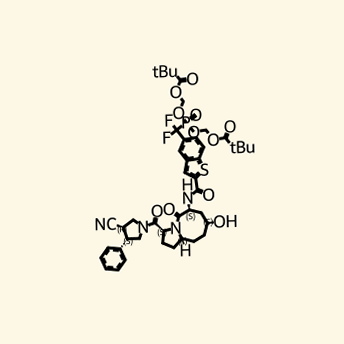 CC(C)(C)C(=O)OCOP(=O)(OCOC(=O)C(C)(C)C)C(F)(F)c1ccc2sc(C(=O)N[C@H]3C[C@@H](O)CC[C@H]4CC[C@@H](C(=O)N5C[C@H](c6ccccc6)[C@@H](C#N)C5)N4C3=O)cc2c1